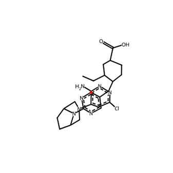 CCC1CC(C(=O)O)CCC1Cc1cnc(N2C3CCC2CN(c2cc(Cl)nnc2N)C3)nc1